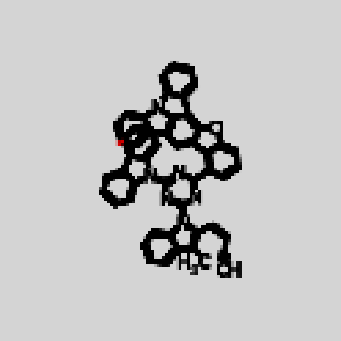 C#C/C=C\c1c(C)c2ccccc2n1-c1nc(-c2cccc3oc4c(cc5c6ccccc6n6c7ccccc7c4c56)c23)nc(-n2c3ccccc3c3ccccc32)n1